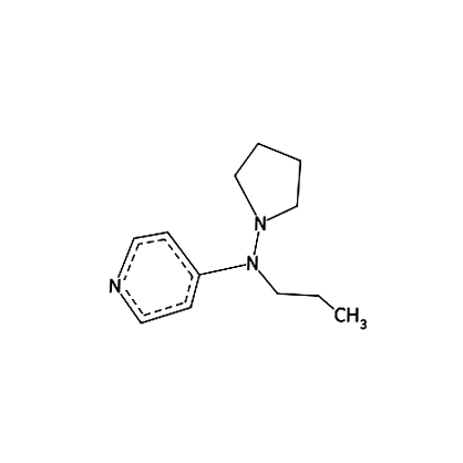 CCCN(c1ccncc1)N1CCCC1